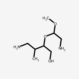 COC(CN)OC(CO)C(C)CN